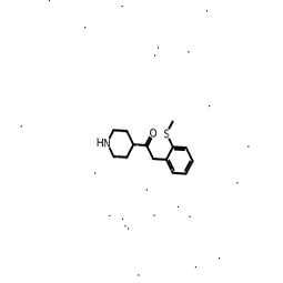 CSc1ccccc1CC(=O)C1CCNCC1